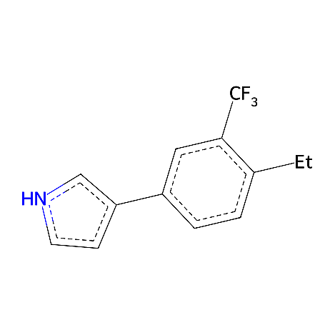 CCc1ccc(-c2cc[nH]c2)cc1C(F)(F)F